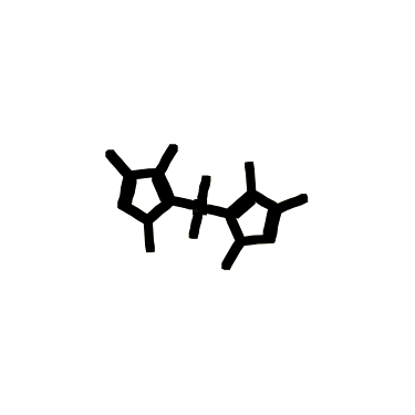 CC1=CC(C)C([Si](C)(C)C2=C(C)C(C)=CC2C)=C1C